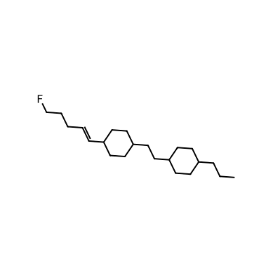 CCCC1CCC(CCC2CCC(C=CCCCF)CC2)CC1